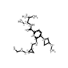 COC1CN(c2ccc(C(=O)N[C@H](CO)C(C)C)nc2OCC2C[C@@H]2COCF)C1